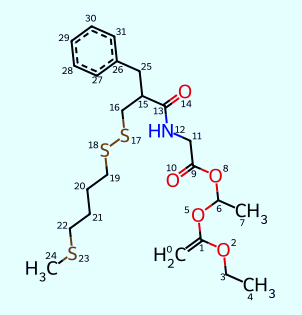 C=C(OCC)OC(C)OC(=O)CNC(=O)C(CSSCCCCSC)Cc1ccccc1